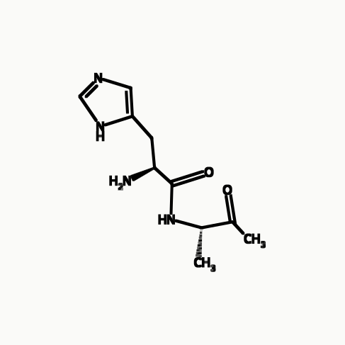 CC(=O)[C@H](C)NC(=O)[C@@H](N)Cc1cnc[nH]1